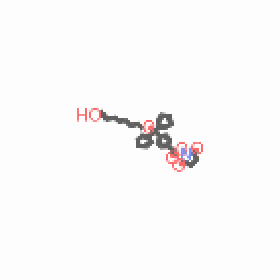 O=C(ON1C(=O)CCC1=O)c1ccc(C(OCCCCCCCCO)(c2ccccc2)c2ccccc2)cc1